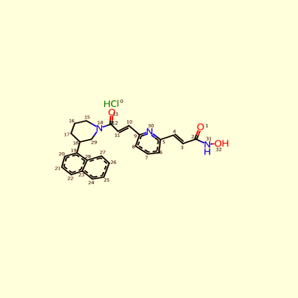 Cl.O=C(/C=C/c1cccc(/C=C/C(=O)N2CCCC(c3cccc4ccccc34)C2)n1)NO